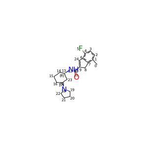 Cc1ccc(F)c2c1CC(C(=O)N[C@@H]1CCC[C@H](N3CCCC3)C1)=C2